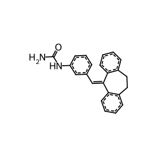 NC(=O)Nc1cccc(C=C2c3ccccc3CCc3ccccc32)c1